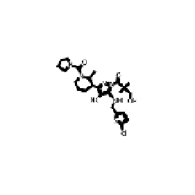 CC1C(c2nn(C(=O)C(C)(C)CO)c(NCc3ccc(Cl)s3)c2C#N)CCCN1C(=O)N1CCCC1